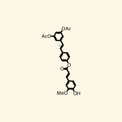 COc1cc(C=CC(=O)Oc2ccc(/C=C/c3cc(OC(C)=O)cc(OC(C)=O)c3)cc2)ccc1O